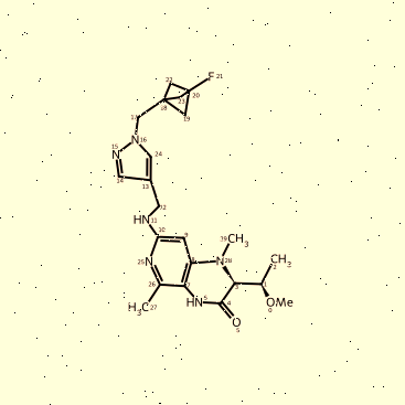 CO[C@H](C)[C@H]1C(=O)Nc2c(cc(NCc3cnn(CC45CC(F)(C4)C5)c3)nc2C)N1C